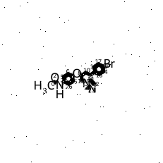 CC(=O)Nc1ccc(OC(CCc2ccc(Br)cc2)Cn2ccnc2)cc1